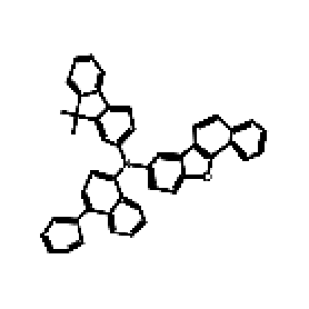 CC1(C)c2ccccc2-c2ccc(N(c3ccc4oc5c6ccccc6ccc5c4c3)c3ccc(-c4ccccc4)c4ccccc34)cc21